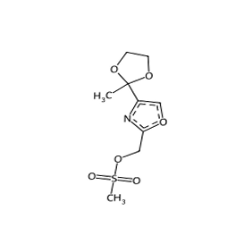 CC1(c2coc(COS(C)(=O)=O)n2)OCCO1